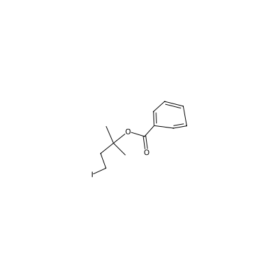 CC(C)(CCI)OC(=O)c1ccccc1